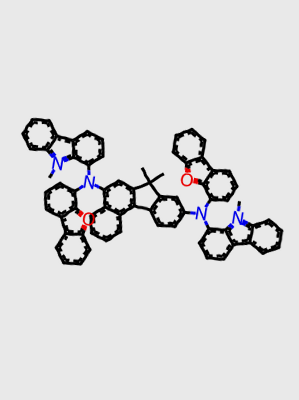 Cn1c2ccccc2c2cccc(N(c3ccc4c(c3)C(C)(C)c3cc(N(c5cccc6c5oc5ccccc56)c5cccc6c7ccccc7n(C)c56)c5ccccc5c3-4)c3cccc4c3oc3ccccc34)c21